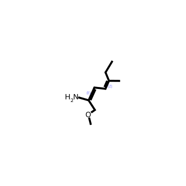 CC/C(C)=C\C=C(\N)COC